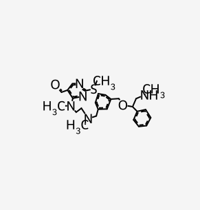 CNCC(OCc1cccc(CN(C)CCN(C)c2nc(SC)ncc2C=O)c1)c1ccccc1